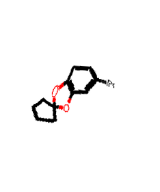 CC(C)c1ccc2c(c1)OC1(CCCC1)O2